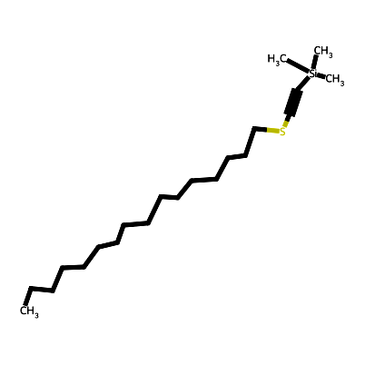 CCCCCCCCCCCCCCCCSC#C[Si](C)(C)C